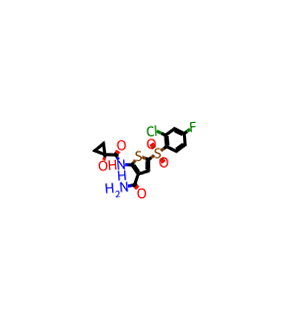 NC(=O)c1cc(S(=O)(=O)c2ccc(F)cc2Cl)sc1NC(=O)C1(O)CC1